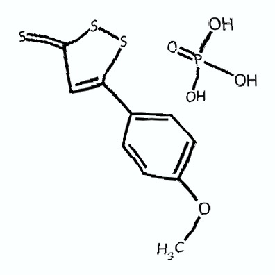 COc1ccc(-c2cc(=S)ss2)cc1.O=P(O)(O)O